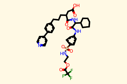 O=C(O)CC(CCCc1ccc(-c2ccncc2)cc1)C(=O)NC(C(=O)Nc1ccc(S(=O)(=O)NCCOC(=O)C(F)(F)F)cc1)C1CCCCC1